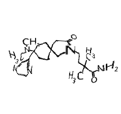 CN(C)[C@]1(c2cnccn2)CC[C@@]2(CC1)CC(=O)N(CCC(C)(C)C(N)=O)C2